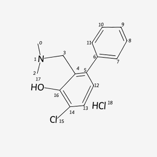 CN(C)Cc1c(-c2ccccc2)ccc(Cl)c1O.Cl